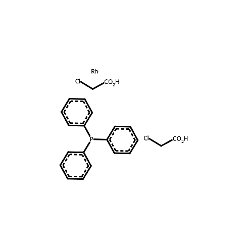 O=C(O)CCl.O=C(O)CCl.[Rh].c1ccc(P(c2ccccc2)c2ccccc2)cc1